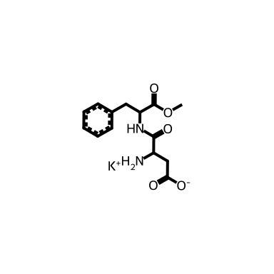 COC(=O)C(Cc1ccccc1)NC(=O)C(N)CC(=O)[O-].[K+]